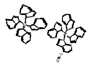 C1=C[CH]([Zr+]([CH]2C=Cc3ccccc32)([CH]2C=Cc3ccccc32)[CH]2C=Cc3ccccc32)c2ccccc21.C1=C[CH]([Zr+]([CH]2C=Cc3ccccc32)([CH]2C=Cc3ccccc32)[CH]2C=Cc3ccccc32)c2ccccc21.[Cl-].[Cl-]